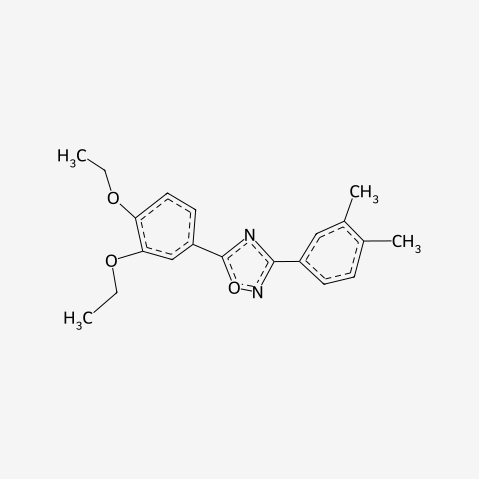 CCOc1ccc(-c2nc(-c3ccc(C)c(C)c3)no2)cc1OCC